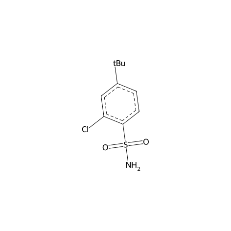 CC(C)(C)c1ccc(S(N)(=O)=O)c(Cl)c1